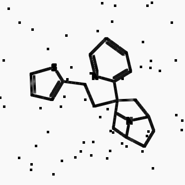 CN1C2CCC1CC(CCc1cccs1)(c1ccccn1)C2